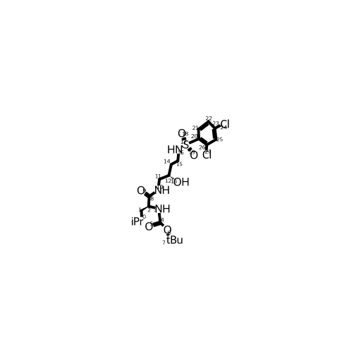 CC(C)C[C@H](NC(=O)OC(C)(C)C)C(=O)NC[C@@H](O)CCNS(=O)(=O)c1ccc(Cl)cc1Cl